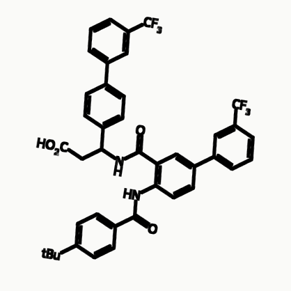 CC(C)(C)c1ccc(C(=O)Nc2ccc(-c3cccc(C(F)(F)F)c3)cc2C(=O)NC(CC(=O)O)c2ccc(-c3cccc(C(F)(F)F)c3)cc2)cc1